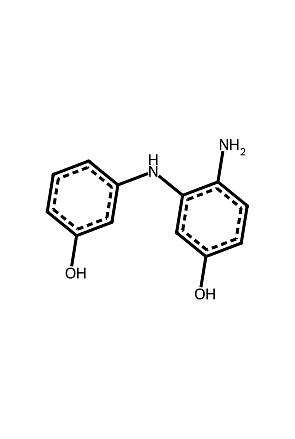 Nc1ccc(O)cc1Nc1cccc(O)c1